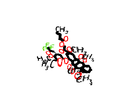 CCCCC(=O)OCC(=O)C1(OC)Cc2c(OC)c3c(c(OC)c2[C@H](OC2C[C@@H](CC(=O)C(F)(F)F)[C@H](OC)[C@H](C)O2)C1)C(=O)c1c(OC)cccc1C3=O